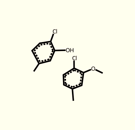 COc1cc(C)ccc1Cl.Cc1ccc(Cl)c(O)c1